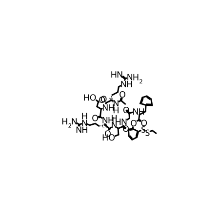 CCSSc1ccccc1OC(=O)C(Cc1ccccc1)NC(=O)CNC(=O)C(CO)NC(=O)[C@H](CCCNC(=N)N)NC(=O)C(CC(=O)O)NC(=O)[C@H](CCCNC(=N)N)NC(C)=O